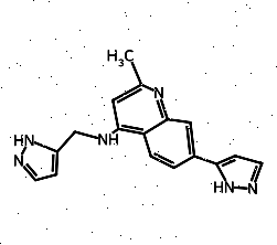 Cc1cc(NCc2ccn[nH]2)c2ccc(-c3ccn[nH]3)cc2n1